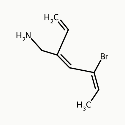 C=C/C(=C\C(Br)=C/C)CN